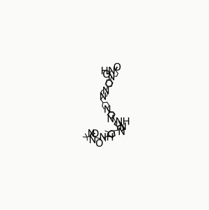 Cc1cc(-c2ncnc3[nH]c(-c4ccc(N5CCC(CN6CCN(c7ccc(N8CCC(=O)NC8=O)cc7)CC6)CC5)cn4)cc23)ccc1[C@@H](C)NC(=O)c1nc(C(C)(C)C)no1